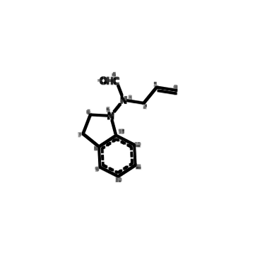 C=CCN([C]=O)N1CCc2ccccc21